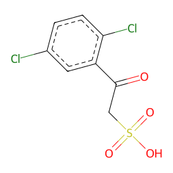 O=C(CS(=O)(=O)O)c1cc(Cl)ccc1Cl